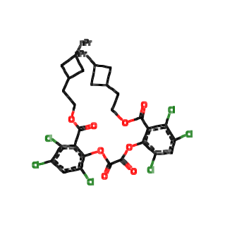 CCCC1CC(CCOC(=O)c2c(Cl)c(Cl)cc(Cl)c2OC(=O)C(=O)Oc2c(Cl)cc(Cl)c(Cl)c2C(=O)OCCC2CC(CCC)C2)C1